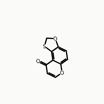 O=c1ccoc2ccc3c(c12)SCO3